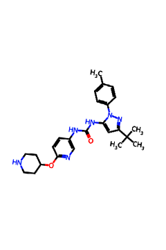 Cc1ccc(-n2nc(C(C)(C)C)cc2NC(=O)Nc2ccc(OC3CCNCC3)nc2)cc1